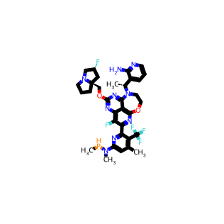 CPN(C)c1cc(C)c(C(F)(F)F)c(-c2nc3c4c(nc(OC[C@@]56CCCN5C[C@H](F)C6)nc4c2F)N([C@H](C)c2cccnc2N)CCO3)n1